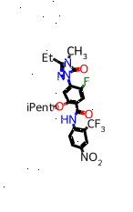 CCC[C@H](C)Oc1cc(-n2nc(CC)n(C)c2=O)c(F)cc1C(=O)Nc1ccc([N+](=O)[O-])cc1C(F)(F)F